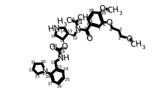 COCCCOc1cc(C(=O)N(C[C@@H]2CNC[C@H]2OC(=O)NCc2ccccc2N2CCCC2)C(C)C)ccc1OC